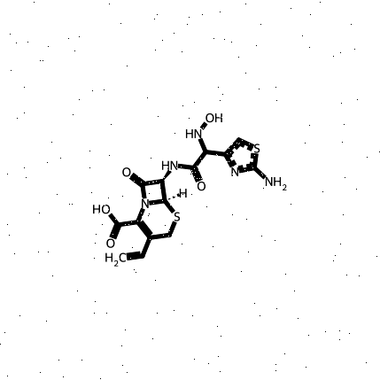 C=CC1=C(C(=O)O)N2C(=O)[C@@H](NC(=O)C(NO)c3csc(N)n3)[C@H]2SC1